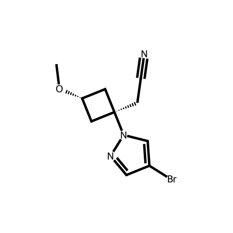 CO[C@H]1C[C@](CC#N)(n2cc(Br)cn2)C1